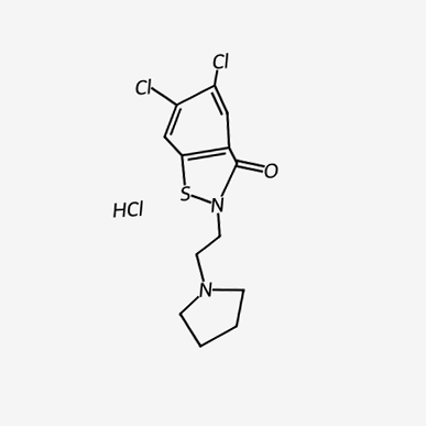 Cl.O=c1c2cc(Cl)c(Cl)cc2sn1CCN1CCCC1